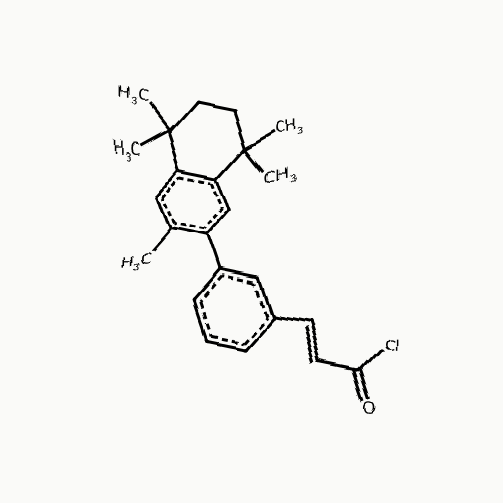 Cc1cc2c(cc1-c1cccc(C=CC(=O)Cl)c1)C(C)(C)CCC2(C)C